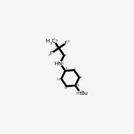 CC(F)(F)CNC1CCC(C(C)(C)C)CC1